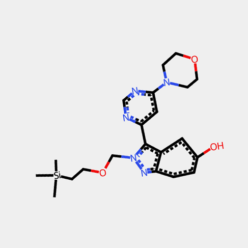 C[Si](C)(C)CCOCn1nc2ccc(O)cc2c1-c1cc(N2CCOCC2)ncn1